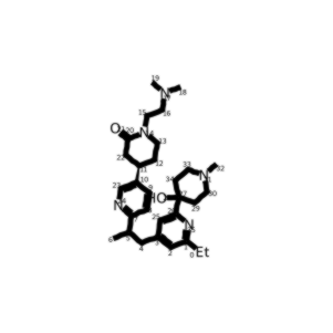 CCc1cc(CC(C)c2ccc([C@@H]3CCN(CCN(C)C)C(=O)C3)cn2)cc(C2(O)CCN(C)CC2)n1